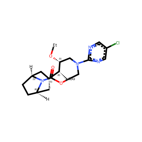 CCO[C@@H]1CN(c2ncc(Cl)cn2)CC[C@@H]1[C@@H]1C[C@H]2CC[C@@H](C1)N2C(=O)OC(C)(C)C